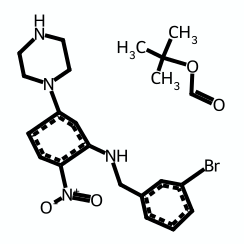 CC(C)(C)OC=O.O=[N+]([O-])c1ccc(N2CCNCC2)cc1NCc1cccc(Br)c1